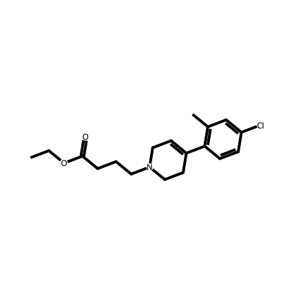 CCOC(=O)CCCN1CC=C(c2ccc(Cl)cc2C)CC1